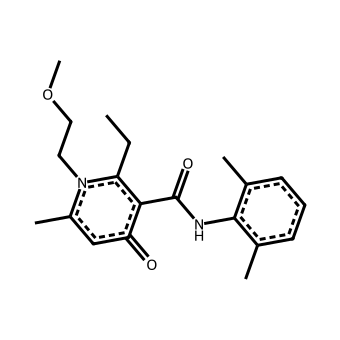 CCc1c(C(=O)Nc2c(C)cccc2C)c(=O)cc(C)n1CCOC